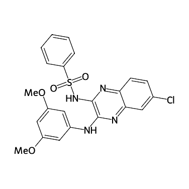 COc1cc(Nc2nc3cc(Cl)ccc3nc2NS(=O)(=O)c2ccccc2)cc(OC)c1